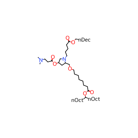 CCCCCCCCCCCOC(=O)CCCCN1CC(OC(=O)CCN(C)C)CC1COCCCCCCCC(=O)OC(CCCCCCCC)CCCCCCCC